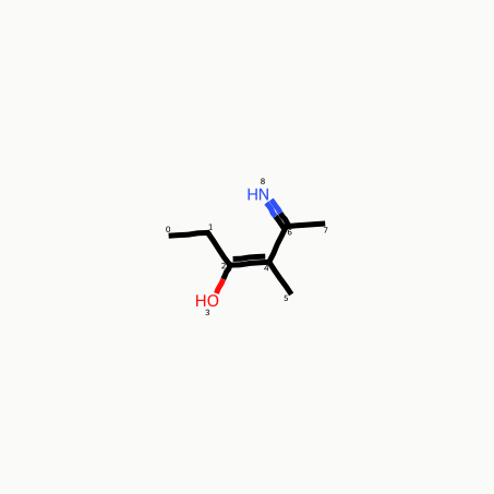 CCC(O)=C(C)C(C)=N